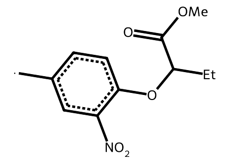 [CH2]c1ccc(OC(CC)C(=O)OC)c([N+](=O)[O-])c1